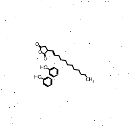 CCCCCCCCCCC=CC1CC(=O)OC1=O.Oc1ccccc1.Oc1ccccc1